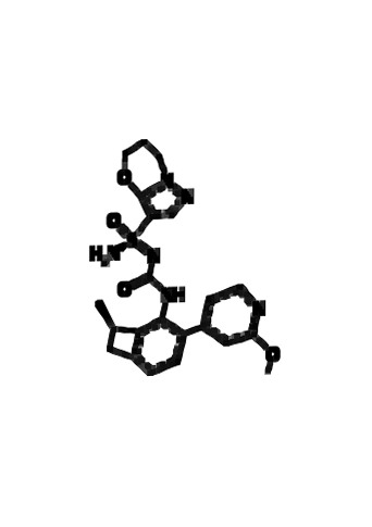 COc1cc(-c2ccc3c(c2NC(=O)N=[S@](N)(=O)c2cnn4c2OCCC4)[C@H](C)C3)ccn1